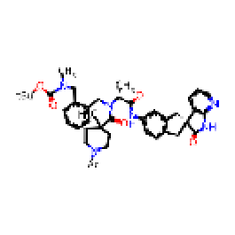 CC(=O)N1CCC(C)(C(=O)N(Cc2ccccc2CN(C)C(=O)OC(C)(C)C)[C@H](C)C(=O)Nc2ccc3c(c2)C[C@@]2(C3)C(=O)Nc3ncccc32)CC1